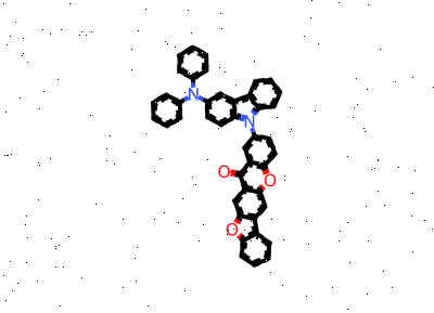 O=c1c2cc(-n3c4ccccc4c4cc(N(c5ccccc5)c5ccccc5)ccc43)ccc2oc2cc3c(cc12)oc1ccccc13